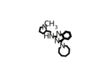 CN1CCCC1CNc1nc(N2CCCCCCC2)c2ccccc2n1